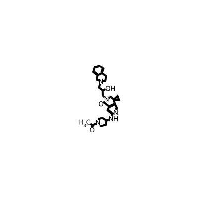 CC(=O)N1CCC(Nc2cc3c(cn2)C2(CC2)CN(CC(O)CN2CCc4ccccc4C2)C3=O)CC1